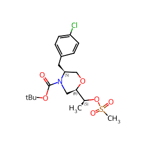 C[C@H](OS(C)(=O)=O)[C@H]1CN(C(=O)OC(C)(C)C)[C@@H](Cc2ccc(Cl)cc2)CO1